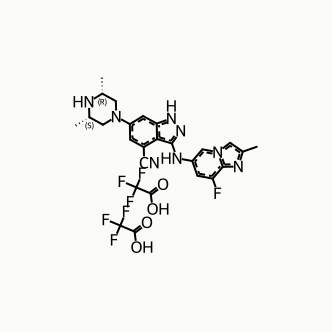 Cc1cn2cc(Nc3n[nH]c4cc(N5C[C@@H](C)N[C@@H](C)C5)cc(C#N)c34)cc(F)c2n1.O=C(O)C(F)(F)F.O=C(O)C(F)(F)F